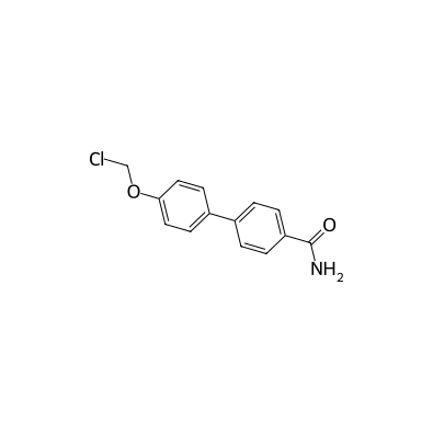 NC(=O)c1ccc(-c2ccc(OCCl)cc2)cc1